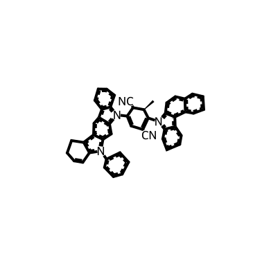 C[C@H]1C(n2c3ccccc3c3c4ccccc4ccc32)=C(C#N)C=C(n2c3ccccc3c3cc4c5c(n(-c6ccccc6)c4cc32)C=CCC5)C1C#N